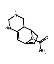 NC(=O)N1C2=CCC1C1CNCNC1=C2